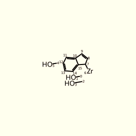 CO.CO.CO.[Zr][CH]1C=Cc2ccccc21